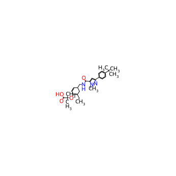 CCC1=C(OC(C)(C)C(=O)O)C=CC(CNC(=O)c2cc(-c3ccc(C(C)(C)C)cc3)nn2C)C1